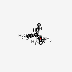 C=CC(=O)N1CCN(c2cc(-c3noc(C4(C)CCCc5sc(N)c(C#N)c54)n3)nc(N3C[C@@H]4C[C@H]3CN4C3CCCC3)c2)CC1